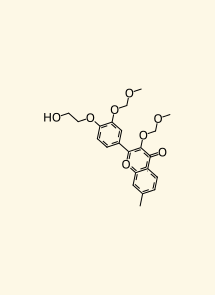 COCOc1cc(-c2oc3cc(C)ccc3c(=O)c2OCOC)ccc1OCCO